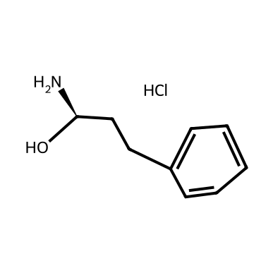 Cl.N[C@H](O)CCc1ccccc1